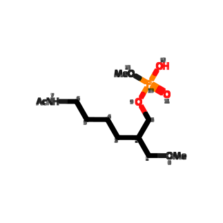 COCC(CCCCNC(C)=O)COP(=O)(O)OC